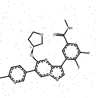 CNC(=O)c1cc(F)c(F)c(-c2cnn3cc(-c4ccc(C)nc4)c(O[C@H]4CCOC4)nc23)c1